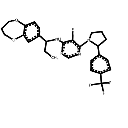 CCC(Nc1ncnc(N2CCCC2c2ccc(C(F)(F)F)cc2)c1F)c1ccc2c(c1)OCCCO2